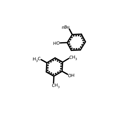 CCCCc1ccccc1O.Cc1cc(C)c(O)c(C)c1